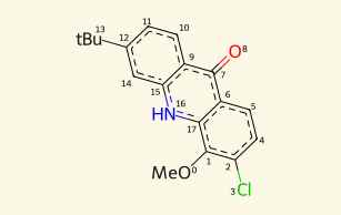 COc1c(Cl)ccc2c(=O)c3ccc(C(C)(C)C)cc3[nH]c12